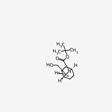 CC(C)(C)OC(=O)N1[C@H]2CC[C@@H](CC2)[C@@H]1CO